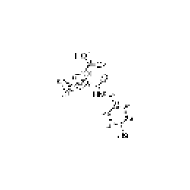 O=C(O)[C@@H]1C2C=CC([C@H]1C(=O)NCc1ccc(Br)cc1)C21CC1